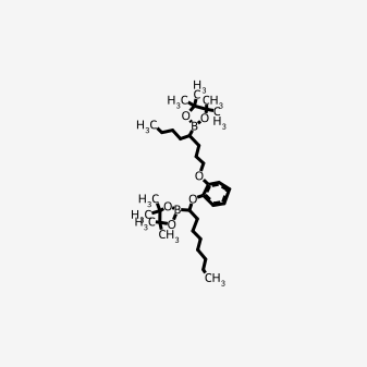 CCCCCCCC(Oc1ccccc1OCCCC(CCCC)B1OC(C)(C)C(C)(C)O1)B1OC(C)(C)C(C)(C)O1